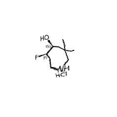 CC1(C)CNC[C@@H](F)[C@H]1O.Cl